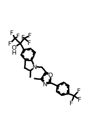 Cc1nc(-c2ccc(C(F)(F)F)cc2)oc1CN1c2ccc(C(O)(C(F)(F)F)C(F)(F)F)cc2CC1C